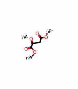 CCCOC(=O)CC(=O)C(=O)OCCC.[KH]